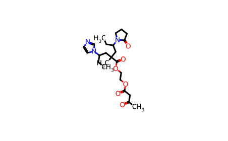 CCC(CC(C)(CC(CC)n1ccnc1)C(=O)OCCOC(=O)CC(C)=O)N1CCCC1=O